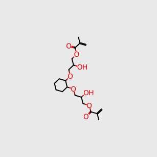 C=C(C)C(=O)OCC(O)COC1CCCCC1OCC(O)COC(=O)C(=C)C